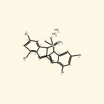 CC(C)C1=Cc2c(C(C)C)cc(C(C)C)cc2[CH]1[Zr]([CH3])([CH3])(=[SiH2])[CH]1C(C(C)C)=Cc2c(C(C)C)cc(C(C)C)cc21.Cl.Cl